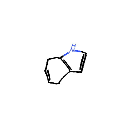 C1=CCc2[nH]ccc2C1